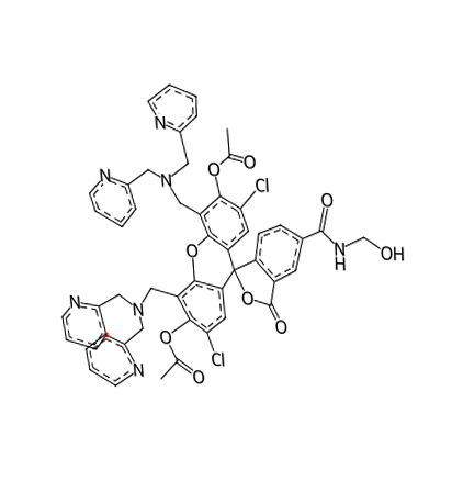 CC(=O)Oc1c(Cl)cc2c(c1CN(Cc1ccccn1)Cc1ccccn1)Oc1c(cc(Cl)c(OC(C)=O)c1CN(Cc1ccccn1)Cc1ccccn1)C21OC(=O)c2cc(C(=O)NCO)ccc21